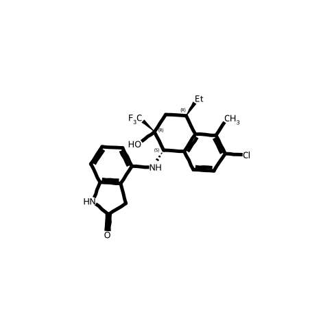 CC[C@@H]1C[C@](O)(C(F)(F)F)[C@@H](Nc2cccc3c2CC(=O)N3)c2ccc(Cl)c(C)c21